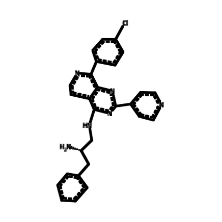 N[C@H](CNc1nc(-c2ccncc2)nc2c(-c3ccc(Cl)cc3)nccc12)Cc1ccccc1